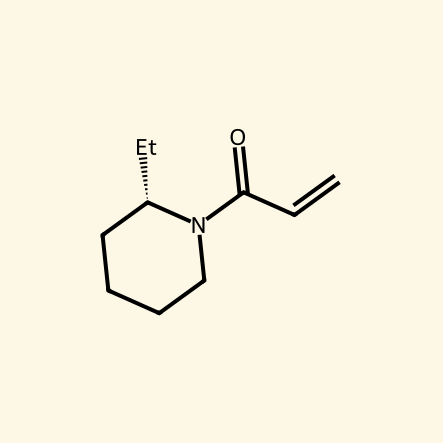 C=CC(=O)N1CCCC[C@@H]1CC